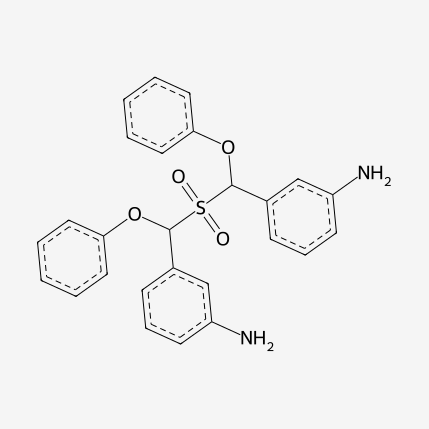 Nc1cccc(C(Oc2ccccc2)S(=O)(=O)C(Oc2ccccc2)c2cccc(N)c2)c1